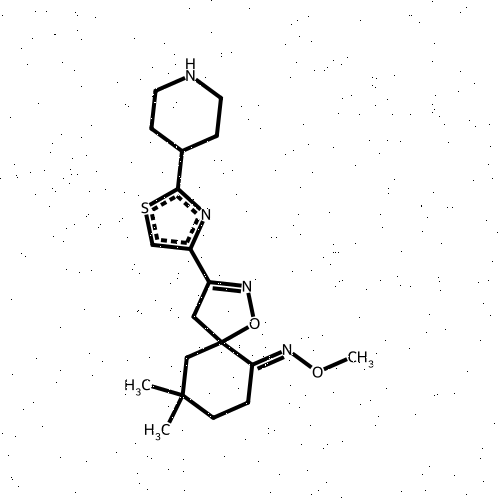 CON=C1CCC(C)(C)CC12CC(c1csc(C3CCNCC3)n1)=NO2